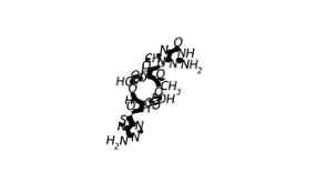 CC[C@@]12COP(=O)(O)O[C@H]3C[C@H](c4snc5c(N)ncnc45)O[C@@H]3COP(=O)(O)O[C@H]1[C@@H](OC)[C@H](N1C=NC3C(=O)NC(N)=NC31)O2